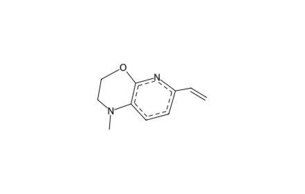 C=Cc1ccc2c(n1)OCCN2C